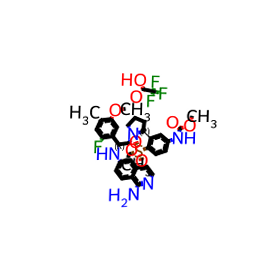 CCS(=O)(=O)c1ccc(NC(=O)OC)cc1[C@H]1CCCN1C(=O)[C@H](Nc1ccc2c(N)nccc2c1)c1cc(OC)c(C)cc1F.O=C(O)C(F)(F)F